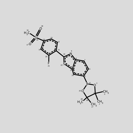 CC1(C)OB(c2ccc3nc(-c4ccc(S(C)(=O)=O)cc4F)sc3c2)OC1(C)C